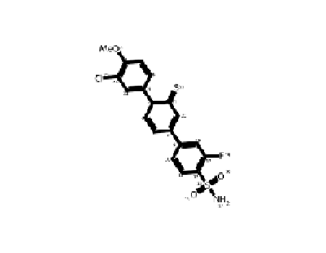 COc1ccc(C2C=CC(c3ccc(S(N)(=O)=O)c(F)c3)=CC2=S)cc1Cl